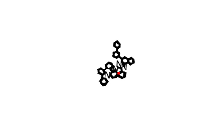 c1ccc(-c2cccc(-c3cc4ccccc4c4nc(-c5ccccc5)c(-n5c6cccc7c8cccc9c%10ccccc%10n(c%10cccc5c%10c76)c89)nc34)c2)cc1